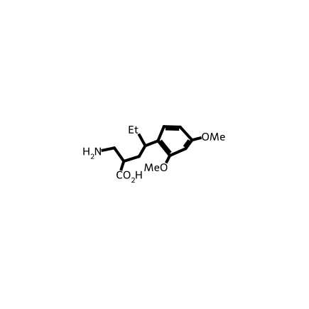 CCC(CC(CN)C(=O)O)c1ccc(OC)cc1OC